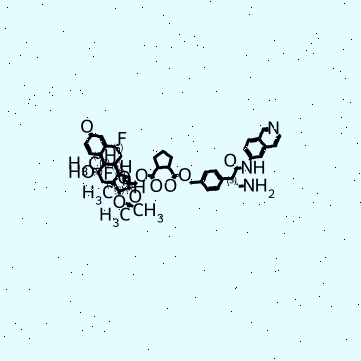 CC1(C)O[C@@H]2C[C@H]3[C@@H]4C[C@H](F)C5=CC(=O)C=C[C@]5(C)[C@@]4(F)[C@@H](O)C[C@]3(C)[C@]2(C(=O)COC(=O)C2CCCC2C(=O)OCc2ccc([C@@H](CN)C(=O)Nc3ccc4cnccc4c3)cc2)O1